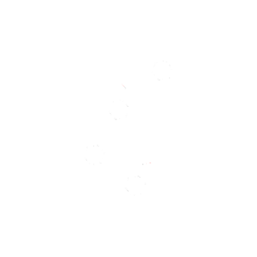 O=C(OCCCc1cc(C(=O)OCc2ccccc2)ccc1OCc1ccccc1)c1ccccc1